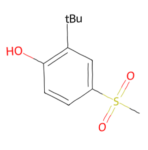 CC(C)(C)c1cc(S(C)(=O)=O)ccc1O